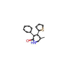 Cc1c[nH]c(=O)c(-c2ccccc2)c1-c1cccs1